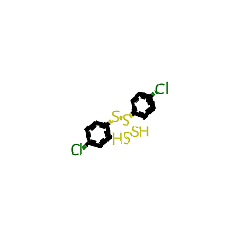 Clc1ccc(SSc2ccc(Cl)cc2)cc1.SS